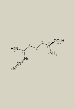 [N-]=[N+]=NC(N)CCC[C@H](N)C(=O)O